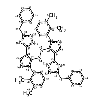 Cc1cccc(-n2ncc(-c3nnn(Cc4ccccc4)n3)c2SSc2c(-c3nnn(Cc4ccccc4)n3)cnn2-c2cccc(C)c2C)c1C